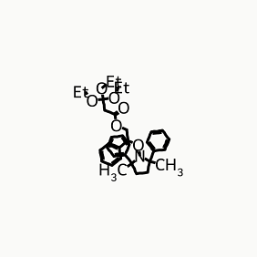 CCOC(CC(=O)OCC(ON1C(C)(c2ccccc2)CCC1(C)c1ccccc1)c1ccccc1)(OCC)OCC